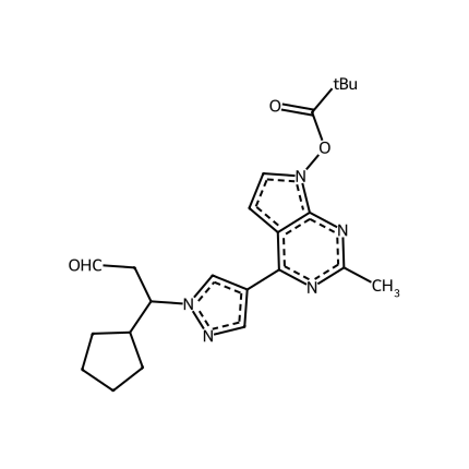 Cc1nc(-c2cnn(C(CC=O)C3CCCC3)c2)c2ccn(OC(=O)C(C)(C)C)c2n1